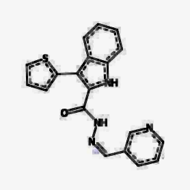 O=C(N/N=C\c1cccnc1)c1[nH]c2ccccc2c1-c1cccs1